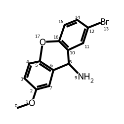 COc1ccc2c(c1)C(N)c1cc(Br)ccc1O2